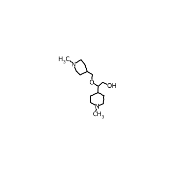 CN1CCC(COC(CO)C2CCN(C)CC2)CC1